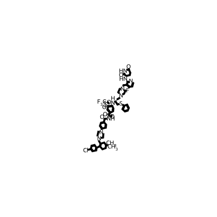 CC1(C)CCC(c2ccc(Cl)cc2)=C(CN2CCN(c3ccc(C(=O)NS(=O)(=O)c4ccc(N[C@H](CCN5CCN(Cc6c(F)ccnc6NC6CCC(=O)NC6=O)CC5)CSc5ccccc5)c(S(=O)(=O)C(F)(F)F)c4)cc3)CC2)C1